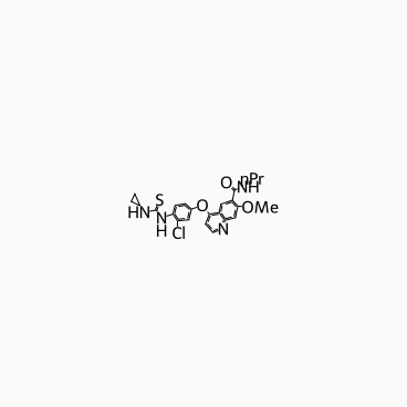 CCCNC(=O)c1cc2c(Oc3ccc(NC(=S)NC4CC4)c(Cl)c3)ccnc2cc1OC